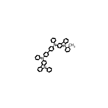 CC1CC=CC=C1n1c2ccccc2c2cc(N(c3ccccc3)c3ccc(-c4ccc(N(c5ccccc5)c5ccc6c(c5)c5ccccc5n6-c5ccccc5)cc4)cc3)ccc21